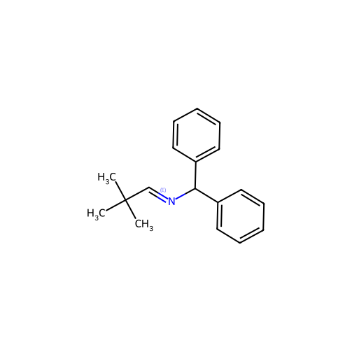 CC(C)(C)/C=N/C(c1ccccc1)c1ccccc1